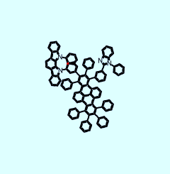 c1ccc(-c2c(-c3ccccc3)c(-c3ccccc3)c3c4cccc5c6c(-c7cccc(-c8nc9ccccc9n8-c8ccccc8)c7)c(-c7ccccc7)c(-c7cccc(-n8c9ccccc9c9ccc%10c%11ccccc%11n(-c%11ccccc%11)c%10c98)c7)c(-c7ccccc7)c6c6cccc(c3c2-c2ccccc2)c6c45)cc1